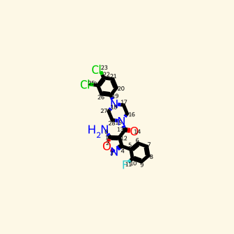 Nc1onc(-c2ccccc2F)c1C(=O)N1CCN(c2ccc(Cl)c(Cl)c2)CC1